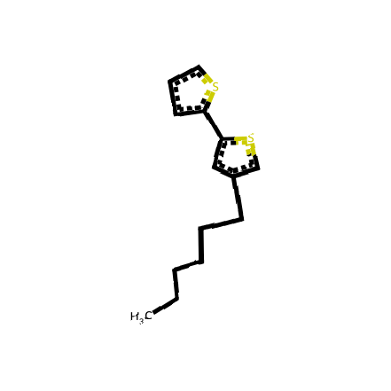 CCCCCCc1csc(-c2cccs2)c1